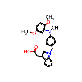 COc1ccc(OC)c(N(C)c2ccc(Cn3cc(CC(=O)O)c4ccccc43)cc2)c1